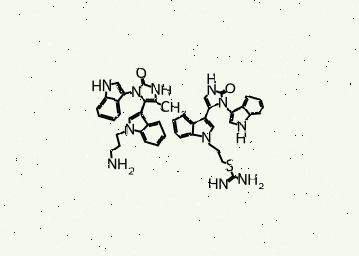 Cc1[nH]c(=O)n(-c2c[nH]c3ccccc23)c1-c1cn(CCCN)c2ccccc12.N=C(N)SCCCn1cc(-c2c[nH]c(=O)n2-c2c[nH]c3ccccc23)c2ccccc21